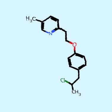 Cc1ccc(CCOc2ccc(CC(C)Cl)cc2)nc1